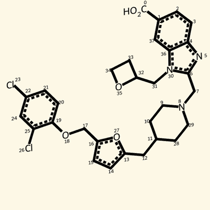 O=C(O)c1ccc2nc(CN3CCC(Cc4ccc(COc5ccc(Cl)cc5Cl)o4)CC3)n(CC3CCO3)c2c1